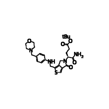 CC(C)(C)OC(=O)CC[C@@H](C(N)=O)N1Cc2c(csc2CNc2ccc(CN3CCOCC3)cc2)C1=O